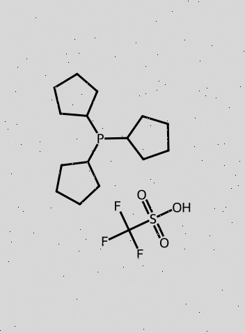 C1CCC(P(C2CCCC2)C2CCCC2)C1.O=S(=O)(O)C(F)(F)F